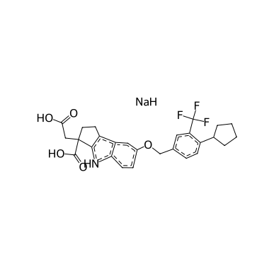 O=C(O)CC1(C(=O)O)CCc2c1[nH]c1ccc(OCc3ccc(C4CCCC4)c(C(F)(F)F)c3)cc21.[NaH]